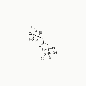 CCOP(=O)(O)C(CC)(CC)CC(=O)CC(CC)(CC)P(=O)(O)OCC